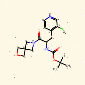 CC(C)(C)OC(=O)NC(Cc1ccncc1Cl)C(=O)N1CC2(COC2)C1